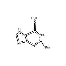 CNc1nc2nc[nH]c2c(=O)[nH]1.O